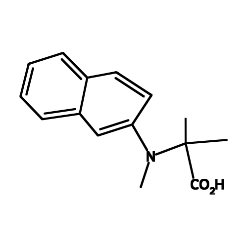 CN(c1ccc2ccccc2c1)C(C)(C)C(=O)O